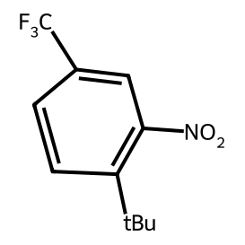 CC(C)(C)c1ccc(C(F)(F)F)cc1[N+](=O)[O-]